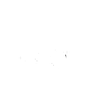 C=CC[C@@H](NC(=O)O)C(=O)N(C)[C@@H](C)[C@@H](O)c1ccccc1